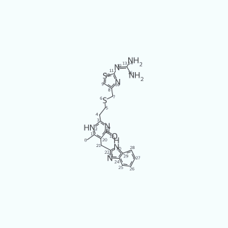 Cc1[nH]c(CCSCc2csc(N=C(N)N)n2)nc(=O)c1Cc1nc2ccccc2[nH]1